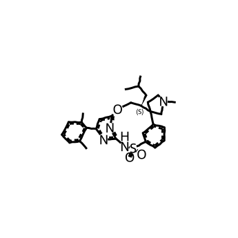 Cc1cccc(C)c1-c1cc2nc(n1)NS(=O)(=O)c1cccc(c1)C1(CCN(C)C1)[C@H](CC(C)C)CO2